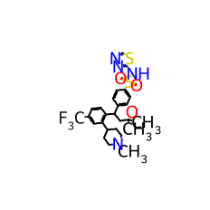 CN1CCC(c2cc(C(F)(F)F)ccc2C2CC(C)(C)Oc3cc(S(=O)(=O)Nc4nncs4)ccc32)CC1